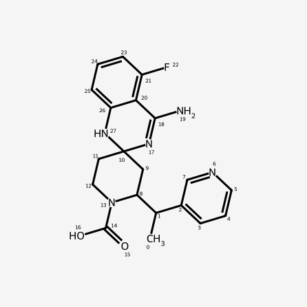 CC(c1cccnc1)C1CC2(CCN1C(=O)O)N=C(N)c1c(F)cccc1N2